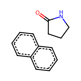 O=C1CCCN1.c1ccc2ccccc2c1